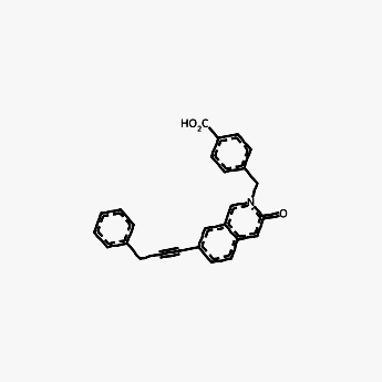 O=C(O)c1ccc(Cn2cc3cc(C#CCc4ccccc4)ccc3cc2=O)cc1